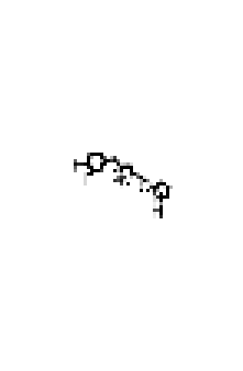 Fc1ccc(Cc2cc(CO[C@H]3CCCN3)no2)cc1F